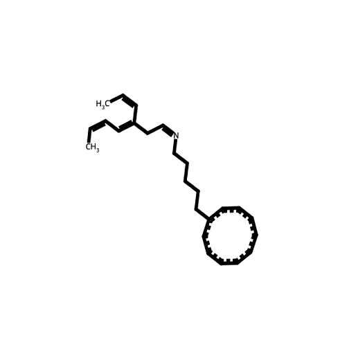 C\C=C/C=C(\C=C/C)C/C=N\CCCCCc1ccccccccc1